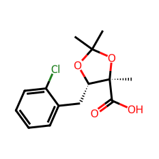 CC1(C)O[C@@H](Cc2ccccc2Cl)[C@](C)(C(=O)O)O1